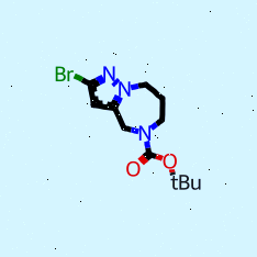 CC(C)(C)OC(=O)N1CCCn2nc(Br)cc2C1